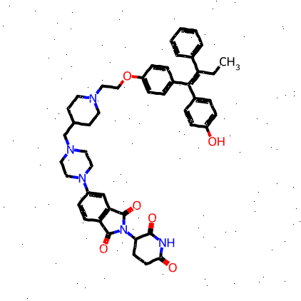 CC/C(=C(\c1ccc(O)cc1)c1ccc(OCCN2CCC(CN3CCN(c4ccc5c(c4)C(=O)N(C4CCC(=O)NC4=O)C5=O)CC3)CC2)cc1)c1ccccc1